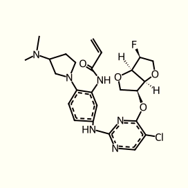 C=CC(=O)Nc1cc(Nc2ncc(Cl)c(O[C@H]3CO[C@@H]4[C@H]3OC[C@@H]4F)n2)ccc1N1CCC(N(C)C)C1